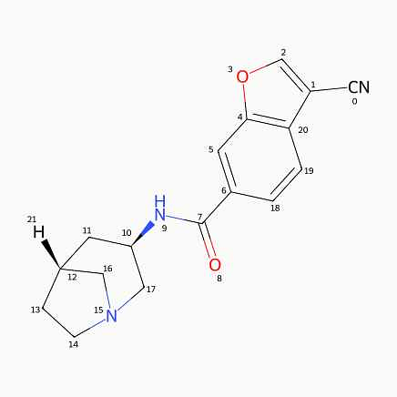 N#Cc1coc2cc(C(=O)N[C@@H]3C[C@H]4CCN(C4)C3)ccc12